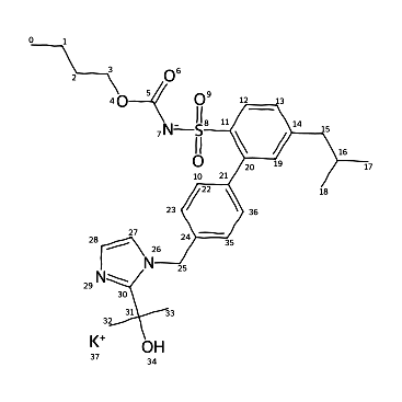 CCCCOC(=O)[N-]S(=O)(=O)c1ccc(CC(C)C)cc1-c1ccc(Cn2ccnc2C(C)(C)O)cc1.[K+]